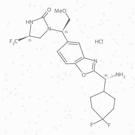 COC[C@@H](c1ccc2oc([C@H](N)C3CCC(F)(F)CC3)nc2c1)N1C[C@@H](C(F)(F)F)NC1=O.Cl